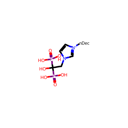 CCCCCCCCCC[n+]1ccn(CC(O)(P(=O)(O)O)P(=O)(O)O)c1